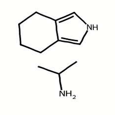 CC(C)N.c1[nH]cc2c1CCCC2